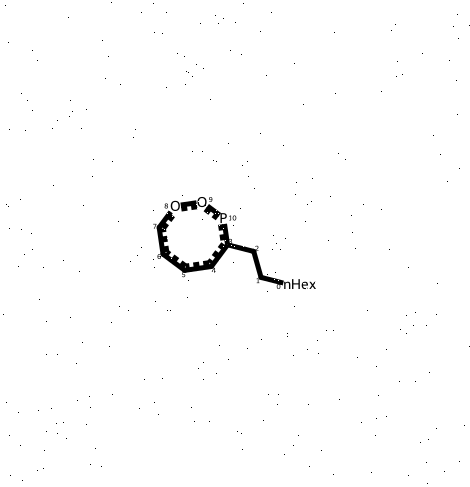 CCCCCCCCc1ccccoop1